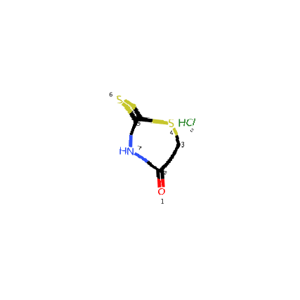 Cl.O=C1CSC(=S)N1